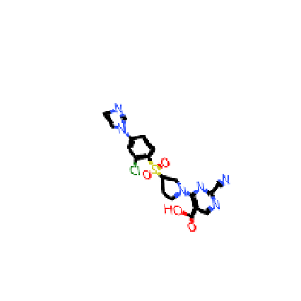 N#Cc1ncc(C(=O)O)c(N2CCC(S(=O)(=O)c3ccc(-n4ccnc4)cc3Cl)C2)n1